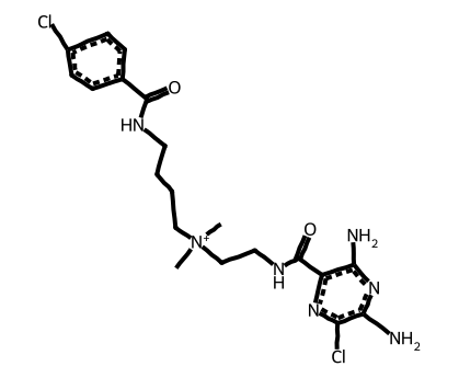 C[N+](C)(CCCCNC(=O)c1ccc(Cl)cc1)CCNC(=O)c1nc(Cl)c(N)nc1N